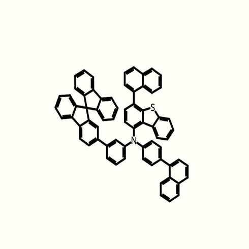 c1cc(-c2ccc3c(c2)C2(c4ccccc4-c4ccccc42)c2ccccc2-3)cc(N(c2ccc(-c3cccc4ccccc34)cc2)c2ccc(-c3cccc4ccccc34)c3sc4ccccc4c23)c1